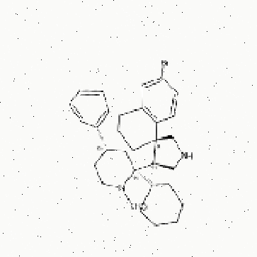 O=CN1CC[C@H](c2ccccc2)C[C@@]1(C1CCCCC1)[C@@H]1CNC[C@]12CCCc1cc(Br)ccc12